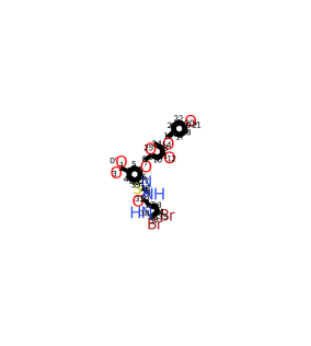 COC(=O)c1cc(OCc2cc(=O)c(OCc3ccc(OC)cc3)co2)c2nc(NC(=O)c3cc(Br)c(Br)[nH]3)sc2c1